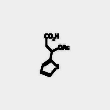 CC(=O)OC(CC(=O)O)c1cccs1